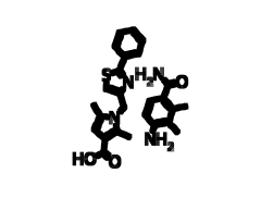 Cc1c(N)ccc(C(N)=O)c1C.Cc1cc(C(=O)O)c(C)n1Cc1csc(-c2ccccc2)n1